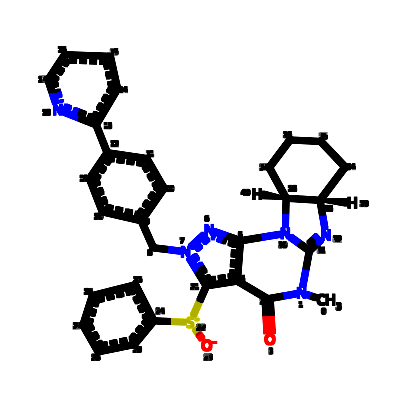 CN1C(=O)c2c(nn(Cc3ccc(-c4ccccn4)cc3)c2[S+]([O-])c2ccccc2)N2C1=N[C@H]1CCCC[C@H]12